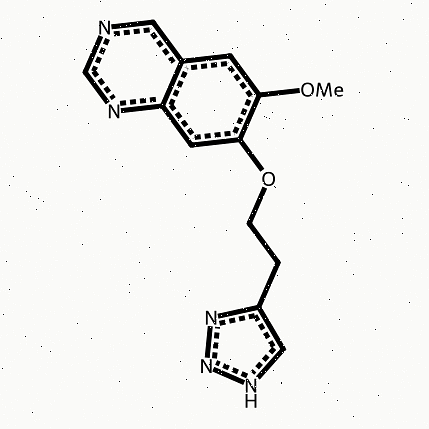 COc1cc2cncnc2cc1OCCc1c[nH]nn1